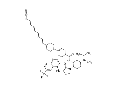 CC(C)N(C)[C@@H]1CC[C@H](N2CC[C@H](Nc3ncnc4ccc(C(F)(F)F)cc34)C2=O)[C@H](NC(=O)C2CC=C(C3=CCN(CCOCCOCCN=[N+]=[N-])CC3)CC2)C1